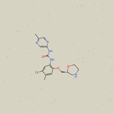 Cc1cnc(NC(=O)Nc2cc(Cl)c(C)cc2OC[C@@H]2CNCCO2)cn1